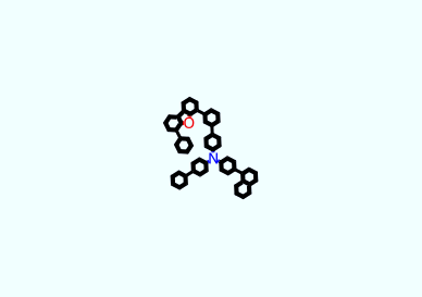 c1ccc(-c2ccc(N(c3ccc(-c4cccc(-c5cccc6c5oc5c(-c7ccccc7)cccc56)c4)cc3)c3ccc(-c4cccc5ccccc45)cc3)cc2)cc1